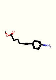 COC(=O)CCCC#Cc1ccc(N)cc1